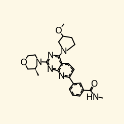 CNC(=O)c1cccc(-c2ccc3c(N4CCCC(OC)C4)nc(N4CCOC[C@@H]4C)nc3n2)c1